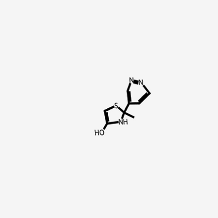 CC1(c2ccnnc2)NC(O)=CS1